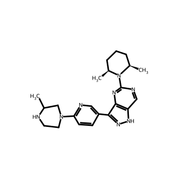 CC1CN(c2ccc(-c3n[nH]c4cnc(N5[C@H](C)CCC[C@@H]5C)nc34)cn2)CCN1